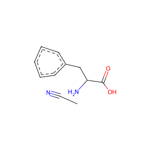 CC#N.NC(Cc1ccccc1)C(=O)O